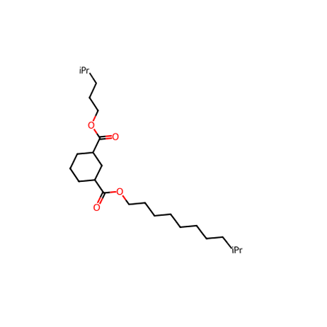 CC(C)CCCCCCCCOC(=O)C1CCCC(C(=O)OCCCC(C)C)C1